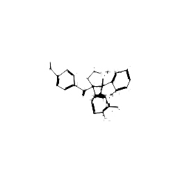 CCc1ccc(C(=O)C2(c3ccc(O)c(O)c3)CCN(C)C23C(=O)Nc2ccccc23)cc1